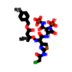 CC(CC(=O)OCc1ccc([N+](=O)[O-])cc1)ON=C(C(=O)N[C@H]1C(=O)N(S(=O)(=O)[O-])[C@H]1C(=O)NS(=O)(=O)[O-])c1csc(NC(=O)CCl)n1.[Na+].[Na+]